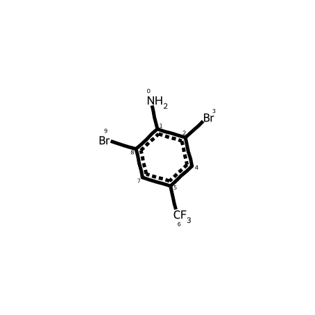 Nc1c(Br)cc(C(F)(F)F)cc1Br